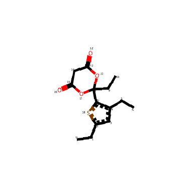 CCc1cc(CC)c(C2(CC)OC(=O)CC(=O)O2)s1